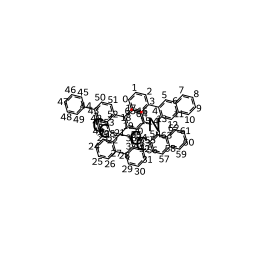 c1ccc(-c2cc3ccccc3cc2N(c2ccc3c(c2)C2(c4ccccc4-c4cccc5cccc2c45)c2cccc4c(-c5ccccc5)ccc-3c24)c2cccc3ccccc23)cc1